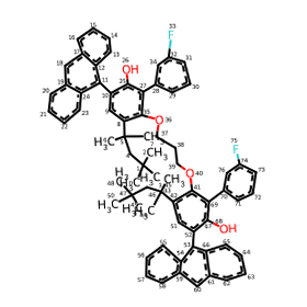 CC(C)(C)CC(C)(C)c1cc(-c2c3ccccc3cc3ccccc23)c(O)c(-c2cccc(F)c2)c1OCCCOc1c(C(C)(C)CC(C)(C)C)cc(-c2c3ccccc3cc3ccccc23)c(O)c1-c1cccc(F)c1